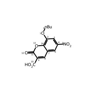 CCCCOc1cc([N+](=O)[O-])cc2cc(C(=O)O)c(=O)oc12